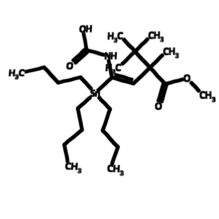 CCC[CH2][Sn]([CH2]CCC)([CH2]CCC)/[C](=C/C(C)(C(=O)OC)C(C)(C)C)NC(=O)O